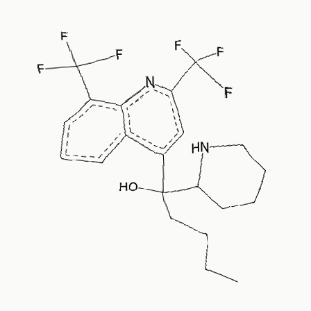 CCCCC(O)(c1cc(C(F)(F)F)nc2c(C(F)(F)F)cccc12)C1CCCCN1